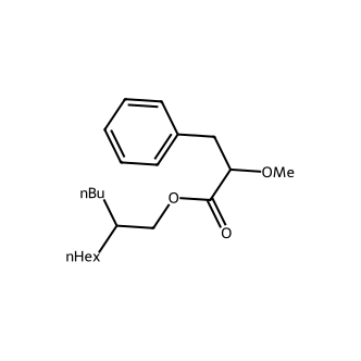 CCCCCCC(CCCC)COC(=O)C(Cc1ccccc1)OC